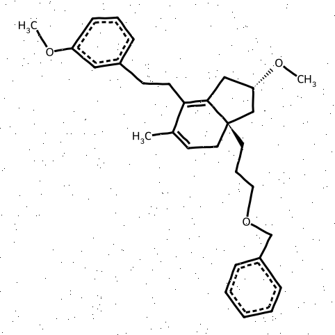 COc1cccc(CCC2=C3C[C@H](OC)C[C@]3(CCCOCc3ccccc3)CC=C2C)c1